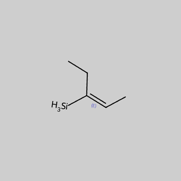 C/C=C(/[SiH3])CC